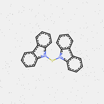 c1ccc2c(c1)c1ccccc1n2Sn1c2ccccc2c2ccccc21